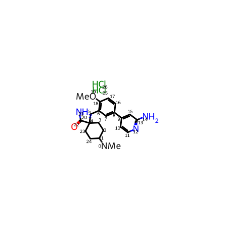 CNC1CCC(Cc2cc(-c3ccnc(N)c3)ccc2OC)(C(N)=O)CC1.Cl.Cl